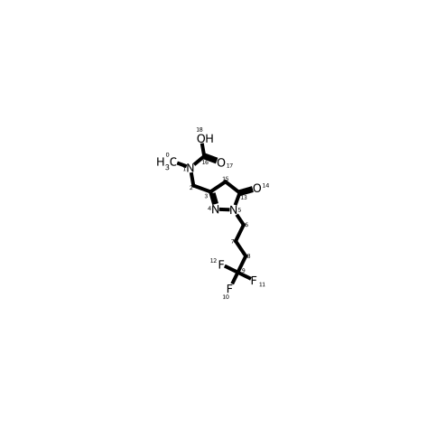 CN(CC1=NN(CCCC(F)(F)F)C(=O)C1)C(=O)O